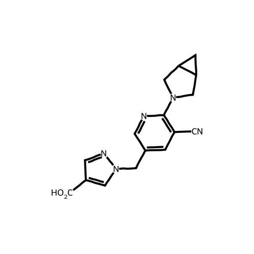 N#Cc1cc(Cn2cc(C(=O)O)cn2)cnc1N1CC2CC2C1